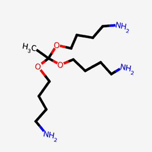 CC(OCCCCN)(OCCCCN)OCCCCN